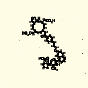 C[C@@H](NC(=O)c1ccnc2ccc(OCCCN3CCN(C(=O)CN4CCN(CC(=O)O)CCN(CC(=O)O)CCN(CC(=O)O)CC4)CC3)cc12)C(=O)N1CCC[C@H]1B(O)O